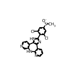 C[S+]([O-])c1cc(Cl)c(-c2nc3c([nH]2)-c2ccncc2Nc2ncccc2-3)c(Cl)c1